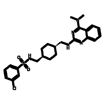 CN(C)c1nc(NC[C@H]2CC[C@H](CNS(=O)(=O)c3cccc(Cl)c3)CC2)nc2ccccc12